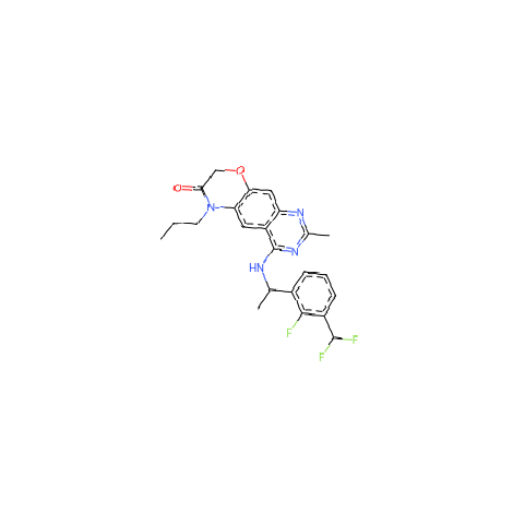 CCCN1C(=O)COc2cc3nc(C)nc(NC(C)c4cccc(C(F)F)c4F)c3cc21